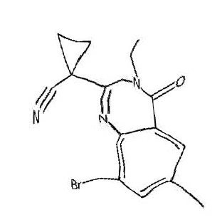 Cc1cc(Br)c2nc(C3(C#N)CC3)n(C)c(=O)c2c1